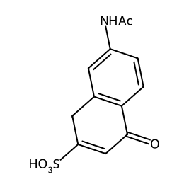 CC(=O)Nc1ccc2c(c1)CC(S(=O)(=O)O)=CC2=O